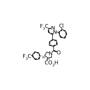 O=C(O)[C@@H]1CN(C(=O)c2ccc(-c3cc(C(F)(F)F)nn3-c3ccccc3Cl)cc2)C[C@H]1c1ccc(C(F)(F)F)cc1